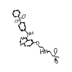 CS(=O)(=O)CCNCCOc1ccc2ncnc(Nc3ccc(S(=O)(=O)c4ccccc4)cc3)c2c1